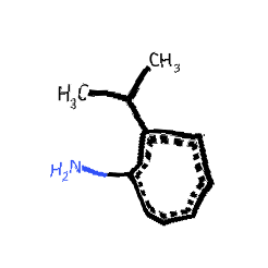 CC(C)c1[c]cccc1N